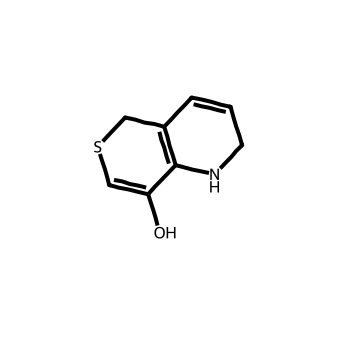 OC1=CSCC2=C1NCC=C2